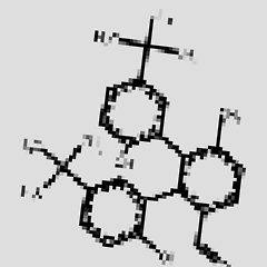 Cc1ccc(C=O)c(-c2cc(C(C)(C)C)ccc2O)c1-c1cc(C(C)(C)C)ccc1O